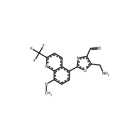 COc1ccc(-c2nc(C=O)c(CN)o2)c2ccc(C(F)(F)F)nc12